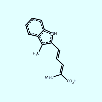 CO/C(=C\C=C\c1[nH]c2ccccc2c1C)C(=O)O